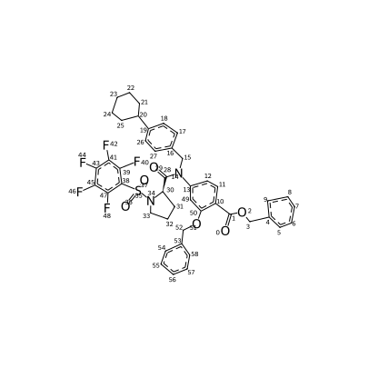 O=C(OCc1ccccc1)c1ccc(N(Cc2ccc(C3CCCCC3)cc2)C(=O)[C@H]2CCCN2S(=O)(=O)c2c(F)c(F)c(F)c(F)c2F)cc1OCc1ccccc1